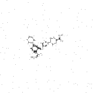 CC(C)(C)OC(=O)N1CCC(n2cc(Nc3nc(N4CCCCC4)cnc3C(N)=O)cn2)CC1